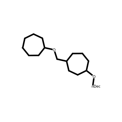 [CH2]CCCCCCCCCOC1CCCC(COC2CC[CH]CCC2)CC1